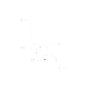 CCCCCCCCCCCCCCCCC(CC(O)(COS(=O)(=O)OC)CC(CCCCCCCCCCCCCCCC)C(=O)O)C(=O)O